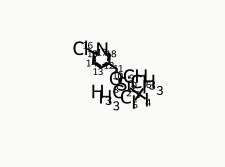 CC(C)(C(I)(I)I)[Si](C)(C)OCc1ccc(Cl)nc1